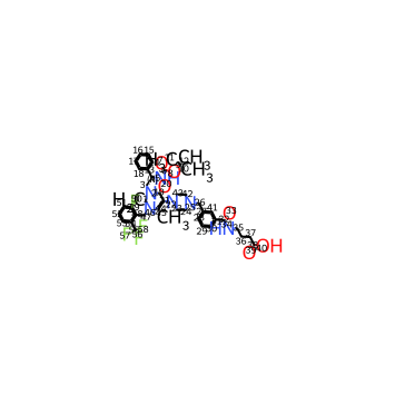 C=C1N(C[C@H](NC(=O)OC(C)(C)C)c2ccccc2)C(=O)C(N2CCN(Cc3cccc(C(=O)NCCCC(=O)O)c3)CC2)=C(C)N1Cc1c(F)cccc1C(F)(F)F